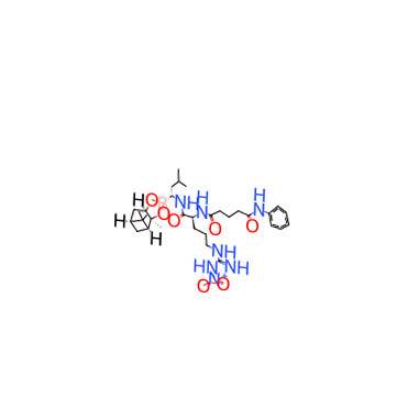 CC(C)C[C@H](NC(=O)[C@H](CCCNC(=N)N[N+](=O)[O-])NC(=O)CCCC(=O)Nc1ccccc1)B1O[C@@H]2C[C@@H]3C[C@@H](C3(C)C)[C@]2(C)O1